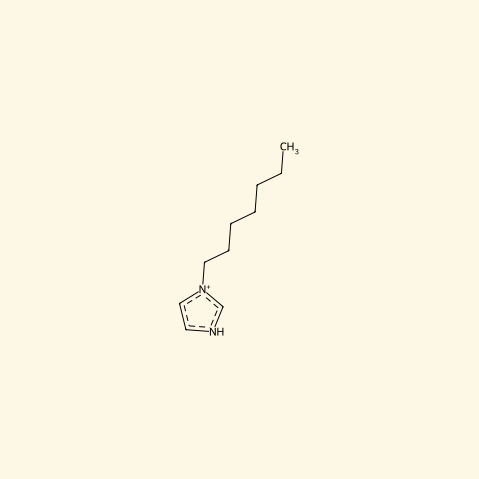 CCCCCCC[n+]1cc[nH]c1